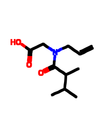 C=CCN(CC(=O)O)C(=O)C(C)C(C)C